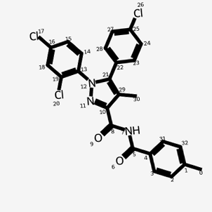 Cc1ccc(C(=O)NC(=O)c2nn(-c3ccc(Cl)cc3Cl)c(-c3ccc(Cl)cc3)c2C)cc1